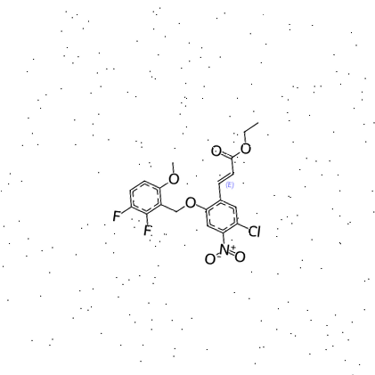 CCOC(=O)/C=C/c1cc(Cl)c([N+](=O)[O-])cc1OCc1c(OC)ccc(F)c1F